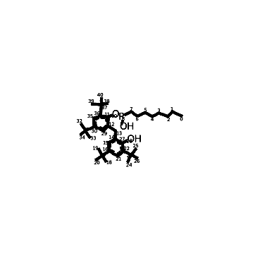 CCCCCCCCP(O)Oc1c(Cc2cc(C(C)(C)C)cc(C(C)(C)C)c2O)cc(C(C)(C)C)cc1C(C)(C)C